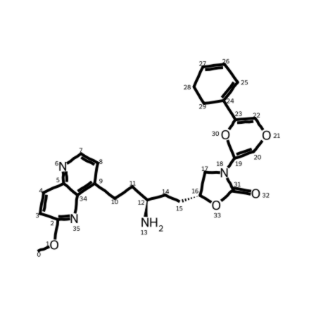 COc1ccc2nccc(CC[C@H](N)CC[C@@H]3CN(C4=COC=C(C5=CC=CCC5)O4)C(=O)O3)c2n1